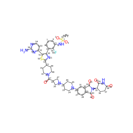 CCCS(=O)(=O)Nc1cccc(-c2nc(C3CCN(C(=O)C4CN(C5CCN(c6ccc7c(c6)C(=O)N([C@@H]6CCC(=O)NC6=O)C7=O)CC5)C4)CC3)sc2-c2ccnc(N)n2)c1F